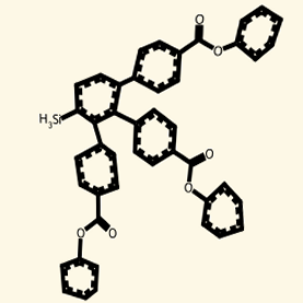 O=C(Oc1ccccc1)c1ccc(-c2ccc([SiH3])c(-c3ccc(C(=O)Oc4ccccc4)cc3)c2-c2ccc(C(=O)Oc3ccccc3)cc2)cc1